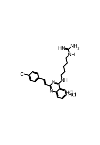 Cl.Cl.N=C(N)NCCCCCNc1nc(C=Cc2ccc(Cl)cc2)nc2ccccc12